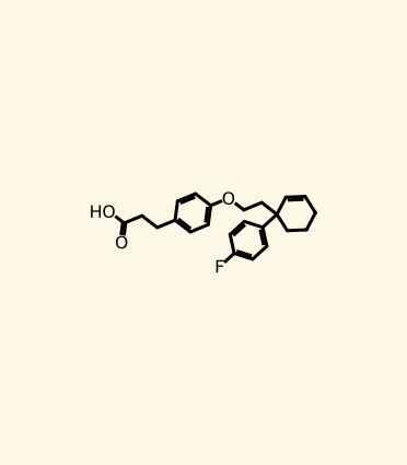 O=C(O)CCc1ccc(OCCC2(c3ccc(F)cc3)C=CCCC2)cc1